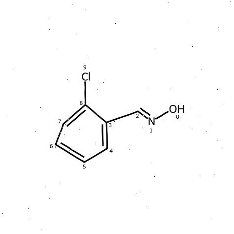 ON=Cc1cc[c]cc1Cl